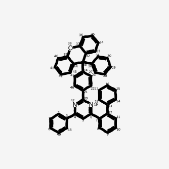 c1ccc(-c2cc(-c3ccccc3-c3ccccc3)nc(-c3ccc(C4(c5ccccc5)c5ccccc5Oc5ccccc54)cc3)n2)cc1